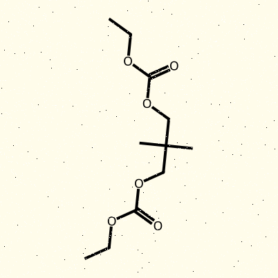 CCOC(=O)OCC(C)(C)COC(=O)OCC